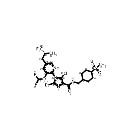 CCc1nc(C(=O)NCC2CCC(S(C)(=O)=O)CC2)c(Cl)n1-c1ncc(C[C@@H](C)C(F)(F)F)cc1OC(F)F